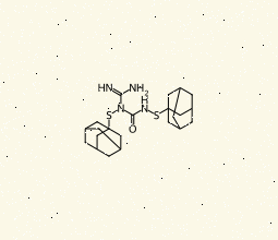 N=C(N)N(SC12CC3CC(CC(C3)C1)C2)C(=O)NSC12CC3CC(CC(C3)C1)C2